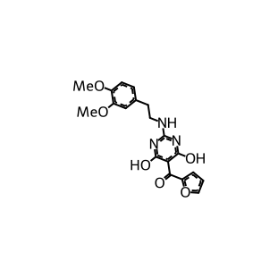 COc1ccc(CCNc2nc(O)c(C(=O)c3ccco3)c(O)n2)cc1OC